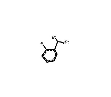 CCCC(CC)c1ccccc1[S]